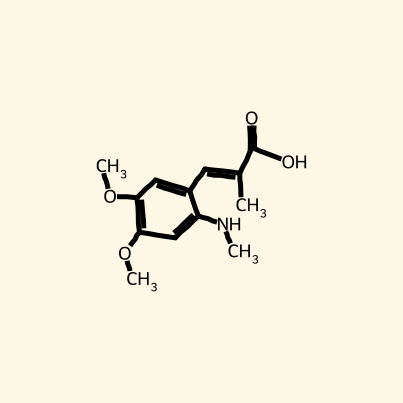 CNc1cc(OC)c(OC)cc1/C=C(\C)C(=O)O